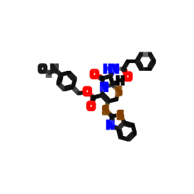 O=C(Cc1ccccc1)NC1C(=O)N2C(C(=O)OCc3ccc([N+](=O)[O-])cc3)=C(Sc3nc4ccccc4s3)CS[C@@H]12